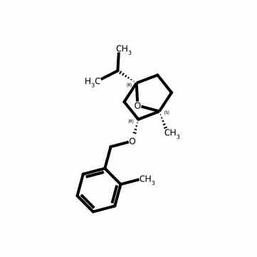 Cc1ccccc1CO[C@@H]1C[C@@]2(C(C)C)CC[C@]1(C)O2